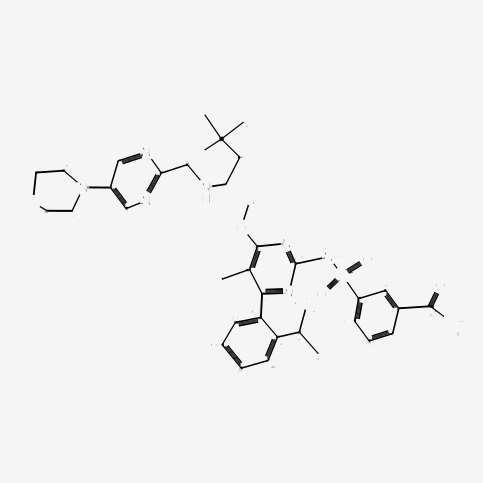 Cc1c(OC[C@@H](CC(C)(C)C)NCc2ncc(N3CCOCC3)cn2)nc(NS(=O)(=O)c2cccc(C(=O)O)c2)nc1-c1ccccc1C(C)C